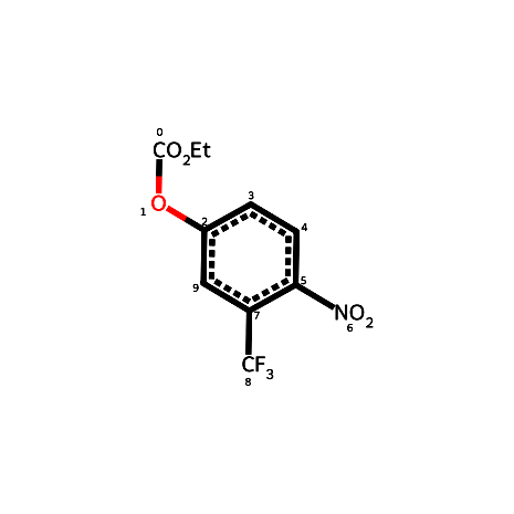 CCOC(=O)Oc1ccc([N+](=O)[O-])c(C(F)(F)F)c1